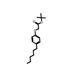 CCCCCCc1ccc(OCC(=O)OC(C)(C)C)cc1